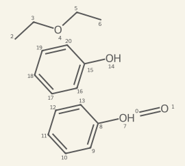 C=O.CCOCC.Oc1ccccc1.Oc1ccccc1